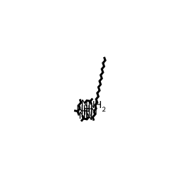 CCCCCCCCCCCCCCCCCCNCC(C)NCC(C)NCC(C)NCC(C)NCC(C)N